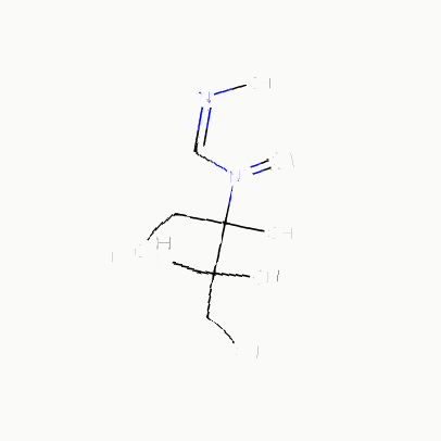 C=[N+](/C=N\C)C(C)(CC)C(C)(C)CC